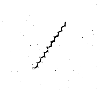 CCCCC/C=C/C=C/CCCCCCCCCO